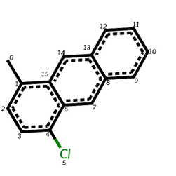 Cc1ccc(Cl)c2cc3ccccc3cc12